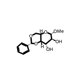 CO[C@H]1O[C@@H]2CO[C@@H](c3ccccc3)O[C@H]2[C@@H](O)[C@@H]1O